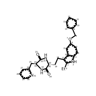 CCc1[nH]c2ccc(OCc3ccccc3)cc2c1CC[C@H]1NC(=O)[C@H](Cc2ccccn2)NC1=O